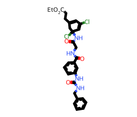 CCOC(=O)CCC1=CC(Cl)=CC(Cl)(NC(=O)CNC(=O)c2cccc(NC(=O)NCc3ccccc3)c2)C1